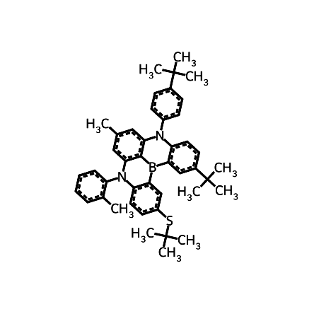 Cc1cc2c3c(c1)N(c1ccccc1C)c1ccc(SC(C)(C)C)cc1B3c1cc(C(C)(C)C)ccc1N2c1ccc(C(C)(C)C)cc1